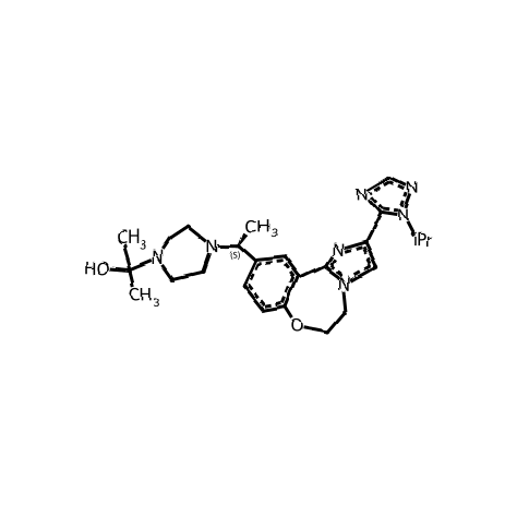 CC(C)n1ncnc1-c1cn2c(n1)-c1cc([C@H](C)N3CCN(C(C)(C)O)CC3)ccc1OCC2